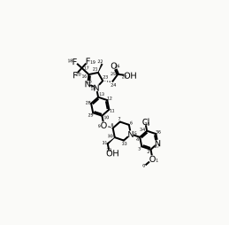 COc1cc(N2CC[C@@H](Oc3ccc(N4N=C(C(F)(F)F)[C@@H](C)[C@@H]4CC(=O)O)cc3)[C@H](CO)C2)c(Cl)cn1